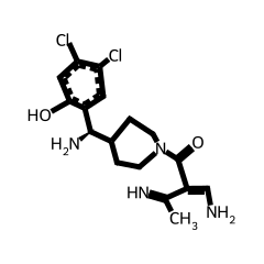 CC(=N)/C(=C\N)C(=O)N1CCC([C@@H](N)c2cc(Cl)c(Cl)cc2O)CC1